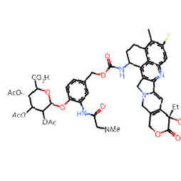 CC[C@@]1(O)C(=O)OCC2=C1C=C1c3nc4cc(F)c(C)c5c4c(c3CN1C2)[C@@H](NC(=O)OCc1ccc(O[C@@H]2OC(C(=O)O)[C@@H](OC(C)=O)C(OC(C)=O)C2OC(C)=O)c(NC(=O)CNC)c1)CC5